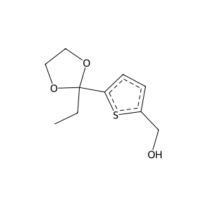 CCC1(c2ccc(CO)s2)OCCO1